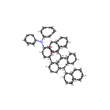 c1ccc(N(c2ccccc2)c2ccc(-c3cccc4c(-c5cccc6ccccc56)c5ccccc5c(-c5cccc6ccccc56)c34)cc2)cc1